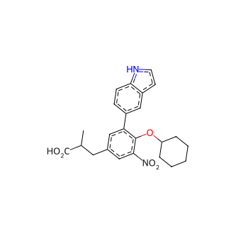 CC(Cc1cc(-c2ccc3[nH]ccc3c2)c(OC2CCCCC2)c([N+](=O)[O-])c1)C(=O)O